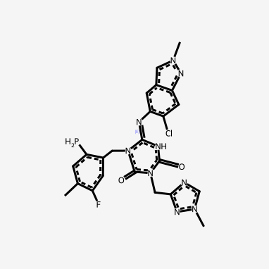 Cc1cc(P)c(Cn2c(=O)n(Cc3ncn(C)n3)c(=O)[nH]/c2=N\c2cc3cn(C)nc3cc2Cl)cc1F